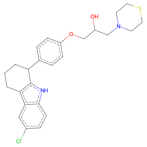 OC(COc1ccc(C2CCCc3c2[nH]c2ccc(Cl)cc32)cc1)CN1CCSCC1